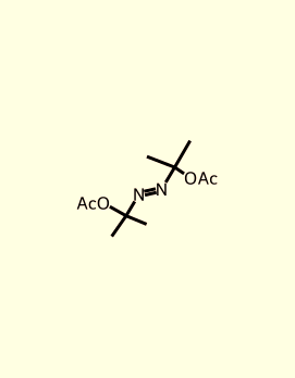 CC(=O)OC(C)(C)N=NC(C)(C)OC(C)=O